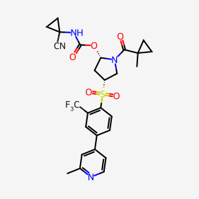 Cc1cc(-c2ccc(S(=O)(=O)[C@@H]3C[C@H](OC(=O)NC4(C#N)CC4)N(C(=O)C4(C)CC4)C3)c(C(F)(F)F)c2)ccn1